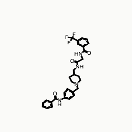 O=C(CNC(=O)c1cccc(C(F)(F)F)c1)NCC1CCN(Cc2ccc(NC(=O)c3ccccc3)cc2)CC1